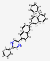 c1ccc(-c2cnc(-c3ccc4cc(-c5cc6c7c(cccc7c5)-c5ccccc5-6)ccc4c3)cn2)cc1